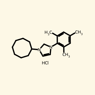 Cc1cc(C)c(N2C=CN(C3CCCCCCC3)C2)c(C)c1.Cl